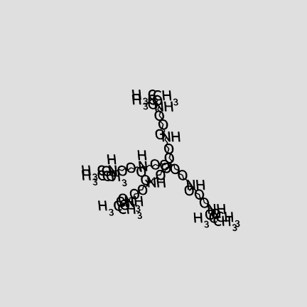 CC(C)(C)OC(=O)NCCOCCOCCC(=O)NCCCOCCOCC(COCCOCCCNC(=O)CCOCCOCCNC(=O)OC(C)(C)C)(COCCOCCCNC(=O)CCOCCOCCNC(=O)OC(C)(C)C)COCCOCCCNC(=O)CCOCCOCCNC(=O)OC(C)(C)C